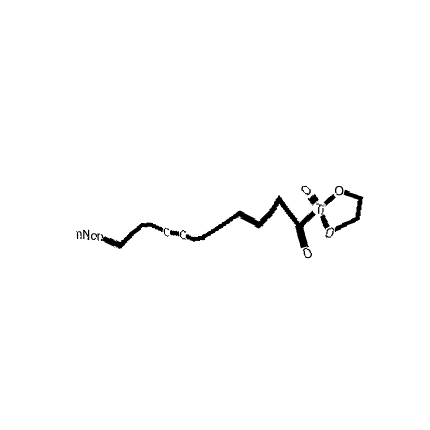 CCCCCCCCCCCCCCCCC[C](=O)[Ti]1(=[O])[O]CC[O]1